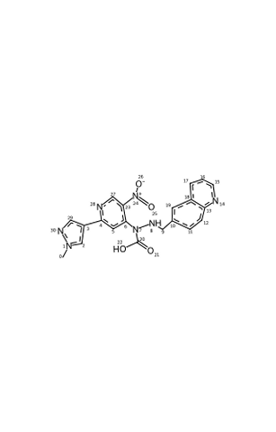 Cn1cc(-c2cc(N(NCc3ccc4ncccc4c3)C(=O)O)c([N+](=O)[O-])cn2)cn1